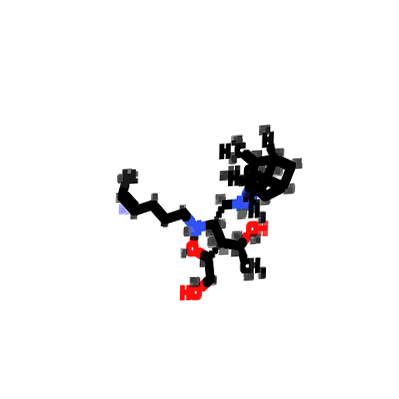 CC/C=C\CCCN1OC(CO)[C@@H]([C@H](C)O)[C@H]1CN[C@H]1CC2C[C@@H](C1C)C2(C)C